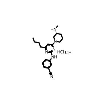 CCCCc1cc(N2CCC[C@@H](NC)C2)nc(Nc2cccc(C#N)c2)n1.Cl.Cl